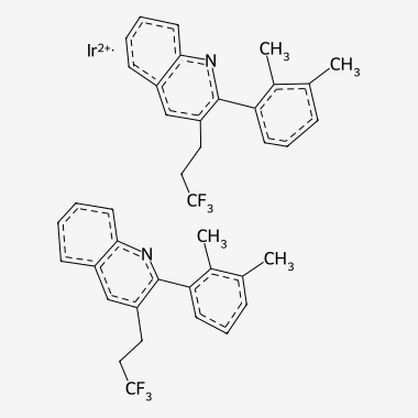 Cc1cccc(-c2nc3ccccc3cc2CCC(F)(F)F)c1C.Cc1cccc(-c2nc3ccccc3cc2CCC(F)(F)F)c1C.[Ir+2]